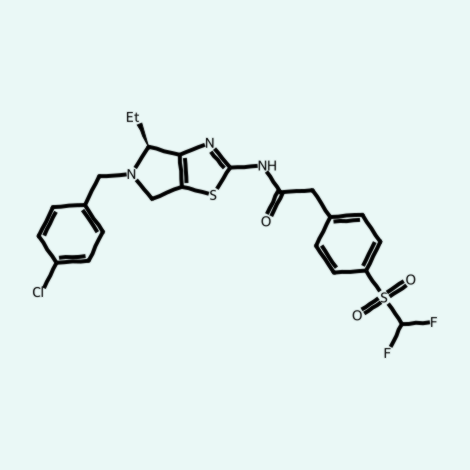 CC[C@H]1c2nc(NC(=O)Cc3ccc(S(=O)(=O)C(F)F)cc3)sc2CN1Cc1ccc(Cl)cc1